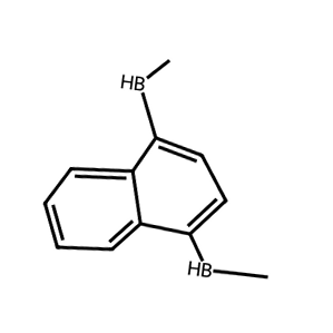 CBc1ccc(BC)c2ccccc12